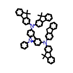 CC1(C)c2ccccc2-c2ccc(N(c3ccc4c(c3)Cc3ccccc3-4)c3ccc4c(c3)c3cc(N(c5ccc6c(c5)C(C)(C)c5ccccc5-6)c5ccc6c(c5)C(C)(C)c5ccccc5-6)ccc3n4-c3ccccc3)cc21